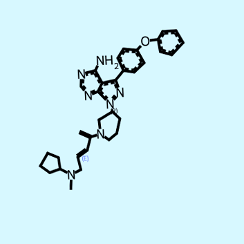 C=C(/C=C/CN(C)C1CCCC1)N1CCC[C@@H](n2nc(-c3ccc(Oc4ccccc4)cc3)c3c(N)ncnc32)C1